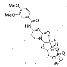 COc1ccc(C(=O)Nc2ccn(C3OC4COP(=O)(OC(C)C)O[C@H]4C3(F)F)c(=O)n2)cc1OC